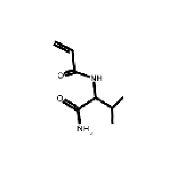 C=CC(=O)NC(C(N)=O)C(C)C